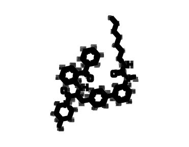 CCCCCCCNC(=O)N(C)c1cccc(-c2ccc(CC(Nc3ccccc3C(=O)c3ccccc3)C(=O)N3CCC(C)CC3)cc2)c1